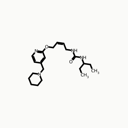 CCC(CC)NC(=O)NC/C=C\COc1cc(CN2CCCCC2)ccn1